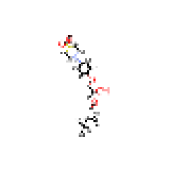 CC(CCOCC(O)COc1ccc(N2CCS(=O)(=O)CC2)cc1)CC(C)(C)C